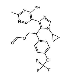 Cc1ncc(-c2ncn(C3CC3)c2C(COC=O)c2ccc(OC(F)(F)F)cc2)c(S)n1